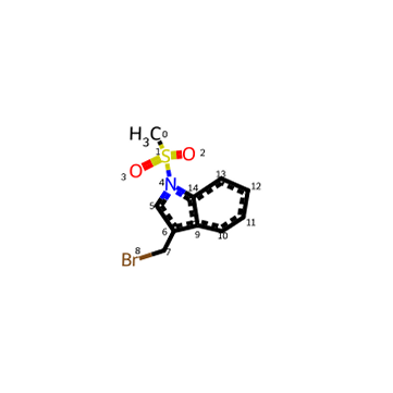 CS(=O)(=O)n1cc(CBr)c2ccccc21